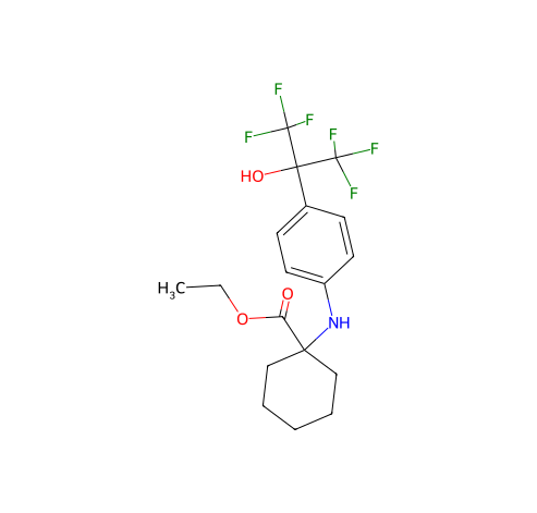 CCOC(=O)C1(Nc2ccc(C(O)(C(F)(F)F)C(F)(F)F)cc2)CCCCC1